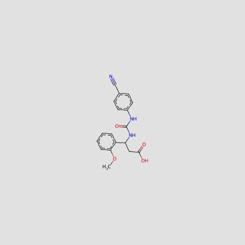 COc1ccccc1C(CC(=O)O)NC(=O)Nc1ccc(C#N)cc1